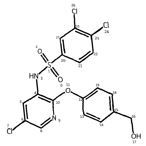 O=S(=O)(Nc1cc(Cl)cnc1Oc1ccc(CO)cc1)c1ccc(Cl)c(Cl)c1